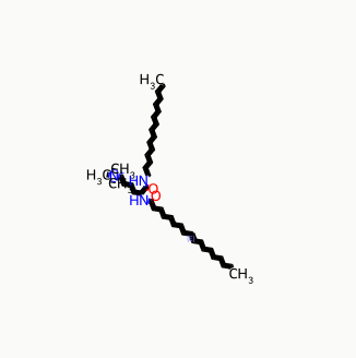 CCCCCCCC/C=C/CCCCCCCC(=O)NC(CCCC[N+](C)(C)C)C(=O)NCCCCCCCCCCCCCCCC